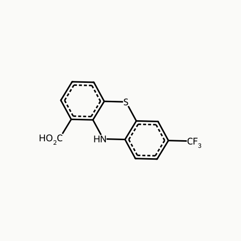 O=C(O)c1cccc2c1Nc1ccc(C(F)(F)F)cc1S2